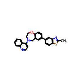 Cc1nc2cc(-c3ccc4c(c3)CN(c3ccnc5ccccc35)CCO4)ccc2s1